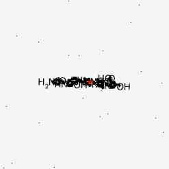 Cc1cc(N=Nc2ccc(CO)cc2S(=O)(=O)O)c(C)cc1N=Nc1cc(C)c(N=Nc2ccc3cc(NOc4ccc(N)cc4)ccc3c2O)cc1C